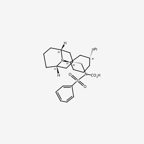 CCC[C@@H]1CCC[C@@H](N2[C@@H]3CCC[C@H]2C[C@@H](CN(C(=O)O)S(=O)(=O)c2ccccc2)C3)C1